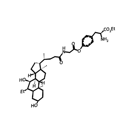 CCOC(=O)[C@@H](N)Cc1ccc(OC(=O)CNC(=O)CC[C@@H](C)[C@H]2CC[C@H]3[C@@H]4[C@H](O)[C@H](CC)C5C[C@H](O)CC[C@]5(C)[C@H]4CC[C@]23C)cc1